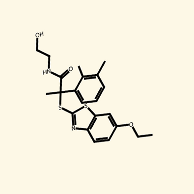 CCOc1ccc2nc(SC(C)(C(=O)NCCO)c3cccc(C)c3C)sc2c1